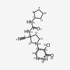 N#CC1(NC(=O)NC2CCCC2)CCN(c2cn[nH]c(=O)c2Cl)C1